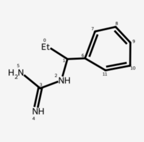 [CH2]CC(NC(=N)N)c1ccccc1